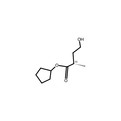 C[C@@H](CCO)C(=O)OC1CCCC1